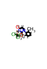 Cc1cccc(C)c1-n1ccc(=O)n(SC(Cl)(Cl)Cl)c1=O